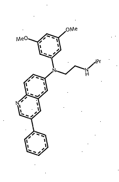 COc1cc(OC)cc(N(CCNC(C)C)c2ccc3ncc(-c4ccccc4)cc3c2)c1